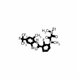 CCN(C)C(=O)C(=O)N(C)c1cccc(C(=O)Nc2c(C)cc(C(F)(C(F)(F)F)C(F)(F)F)cc2Br)c1F